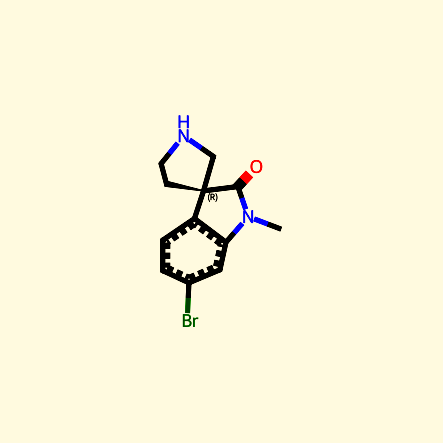 CN1C(=O)[C@]2(CCNC2)c2ccc(Br)cc21